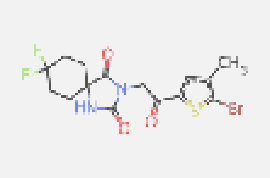 Cc1cc(C(=O)CN2C(=O)NC3(CCC(F)(F)CC3)C2=O)sc1Br